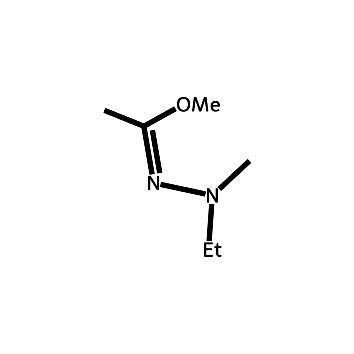 CCN(C)/N=C(/C)OC